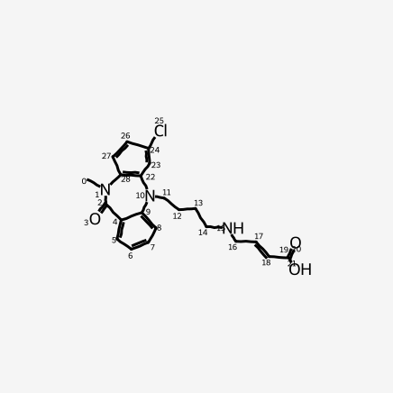 CN1C(=O)c2ccccc2N(CCCCNC/C=C/C(=O)O)c2cc(Cl)ccc21